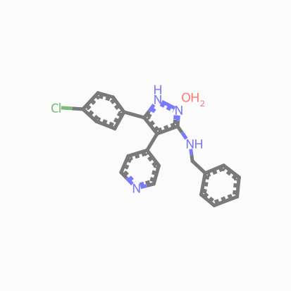 Clc1ccc(-c2[nH]nc(NCc3ccccc3)c2-c2ccncc2)cc1.O